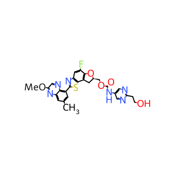 COc1cnc2c(-c3nc4cc(F)c5c(c4s3)C[C@H](COC(=O)Nc3cnc(CCO)nc3)O5)cc(C)cc2n1